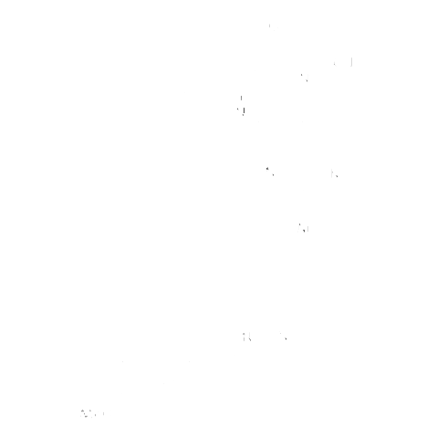 COc1cccc(Cn2cc(CNc3ncc4c(n3)N3CCCC3C(=O)N4C)cn2)c1